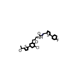 CC(=O)c1ccc(-c2cc(Cl)c3c(c2)CC(CNC(=O)/C=C/c2ccc(-c4ccc(F)cc4)s2)O3)s1